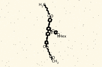 C=CCCCCCCOC(=O)C1C=CC(C#Cc2ccc3c(c2)C(Oc2ccc(OCCCCCC)cc2)=NC2C=C(C#Cc4ccc(C(=O)OCCCCCCOC(=O)C=C)cc4)C=CC32)=CC1